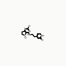 O=c1cc(CCNc2nc(Cl)nc3c2[S@+]([O-])CC3)cc[nH]1